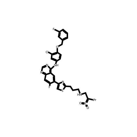 CC(C)C(CNCCCc1nc(-c2cc3c(Nc4ccc(OCc5cccc(F)c5)c(Cl)c4)ncnc3cc2F)cs1)=S(=O)=O